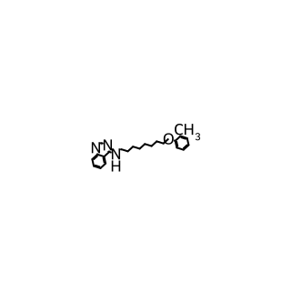 Cc1ccccc1OCCCCCCCCNc1ncnc2ccccc12